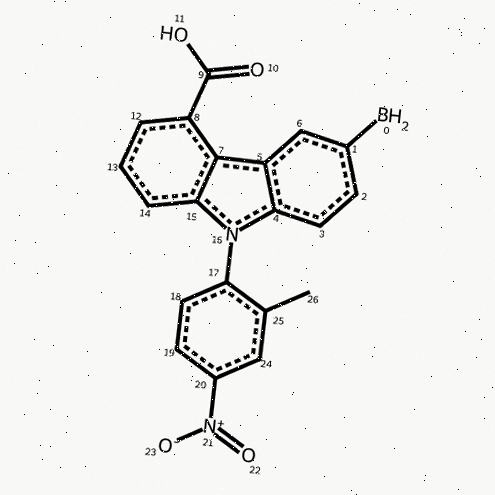 Bc1ccc2c(c1)c1c(C(=O)O)cccc1n2-c1ccc([N+](=O)[O-])cc1C